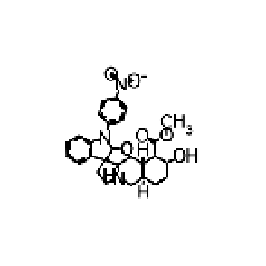 COC(=O)[C@@H]1[C@H]2C[C@@H]3N(CC[C@@]34C(=O)N(c3ccc([N+](=O)[O-])cc3)c3ccccc34)C[C@@H]2CC[C@@H]1O